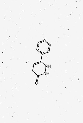 O=C1CC=C(c2ccncc2)NN1